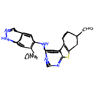 COc1cc2[nH]ncc2cc1Nc1ncnc2sc3c(c12)CCC(C=O)C3